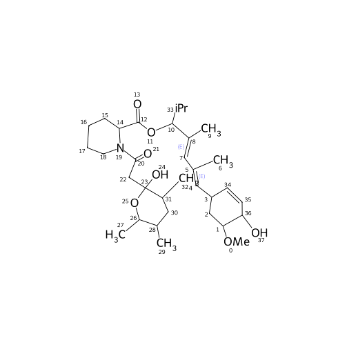 COC1CC(/C=C(C)/C=C(\C)C(OC(=O)C2CCCCN2C(=O)CC2(O)OC(C)C(C)CC2C)C(C)C)C=CC1O